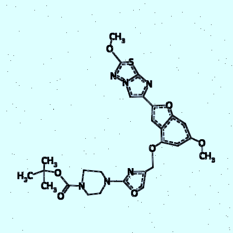 COc1cc(OCc2coc(N3CCN(C(=O)OC(C)(C)C)CC3)n2)c2cc(-c3cn4nc(OC)sc4n3)oc2c1